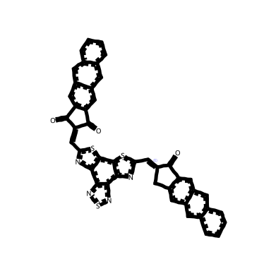 O=C1/C(=C/c2nc3c4nsnc4c4nc(C=C5C(=O)c6cc7cc8ccccc8cc7cc6C5=O)sc4c3s2)Cc2cc3cc4ccccc4cc3cc21